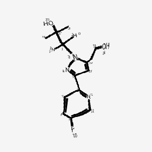 [2H]C([2H])(n1nc(-c2ccc(F)cn2)cc1CO)C(C)(C)O